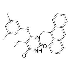 CCc1c(Sc2cc(C)cc(C)c2)n(Cc2c3ccccc3cc3ccccc23)c(=O)[nH]c1=O